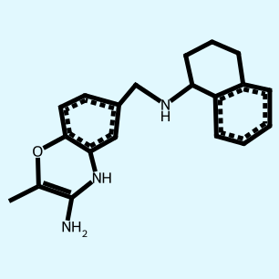 CC1=C(N)Nc2cc(CNC3CCCc4ccccc43)ccc2O1